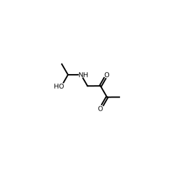 CC(=O)C(=O)CNC(C)O